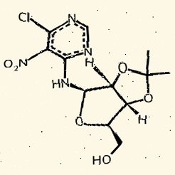 CC1(C)O[C@@H]2[C@H](O1)[C@@H](CO)O[C@H]2Nc1ncnc(Cl)c1[N+](=O)[O-]